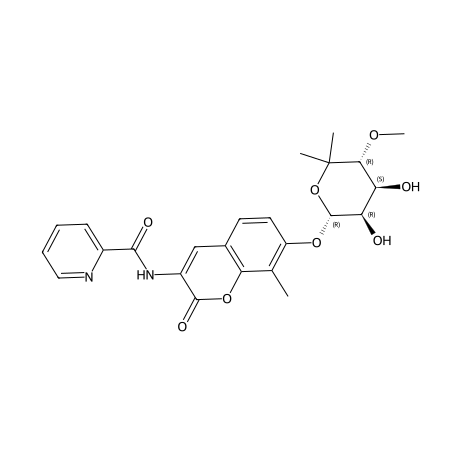 CO[C@@H]1[C@@H](O)[C@@H](O)[C@H](Oc2ccc3cc(NC(=O)c4ccccn4)c(=O)oc3c2C)OC1(C)C